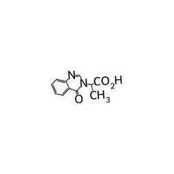 CC(C(=O)O)n1cnc2ccccc2c1=O